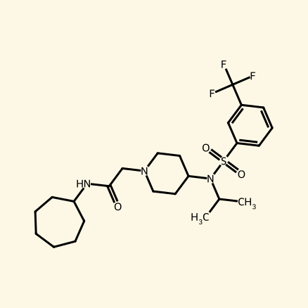 CC(C)N(C1CCN(CC(=O)NC2CCCCCC2)CC1)S(=O)(=O)c1cccc(C(F)(F)F)c1